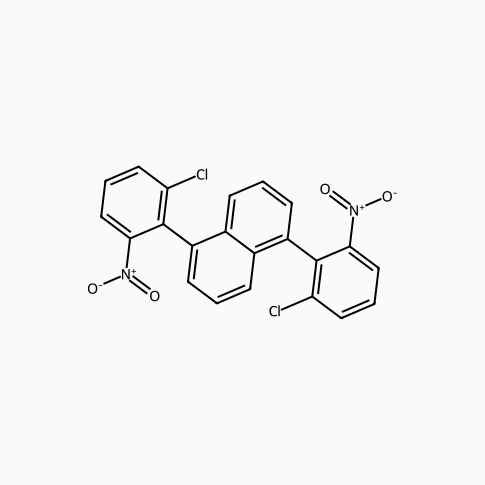 O=[N+]([O-])c1cccc(Cl)c1-c1cccc2c(-c3c(Cl)cccc3[N+](=O)[O-])cccc12